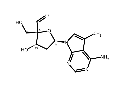 Cc1cn([C@H]2C[C@H](O)[C@@](C=O)(CO)O2)c2ncnc(N)c12